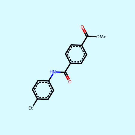 CCc1ccc(NC(=O)c2ccc(C(=O)OC)cc2)cc1